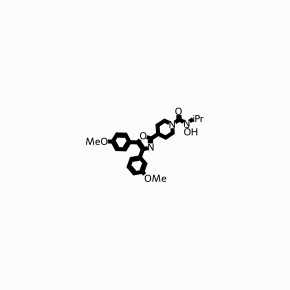 COc1ccc(-c2oc(C3CCN(C(=O)N(O)C(C)C)CC3)nc2-c2cccc(OC)c2)cc1